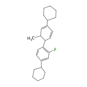 CC1C=C(C2CCCCC2)C=CC1c1ccc(C2CCCCC2)cc1F